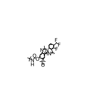 Cc1nc(N[C@H](C)c2cccc(C(F)F)c2F)c2cc(P(C)(C)=O)c(OC(=O)NC(C)(C)C)cc2n1